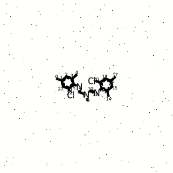 Cc1cc(C)c(N=CN(C)C=Nc2c(C)cc(C)cc2Cl)c(Cl)c1